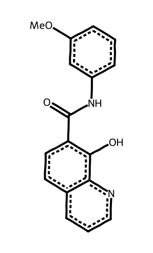 COc1cccc(NC(=O)c2ccc3cccnc3c2O)c1